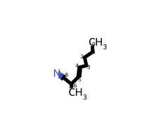 CCCCC=CC(C)C#N